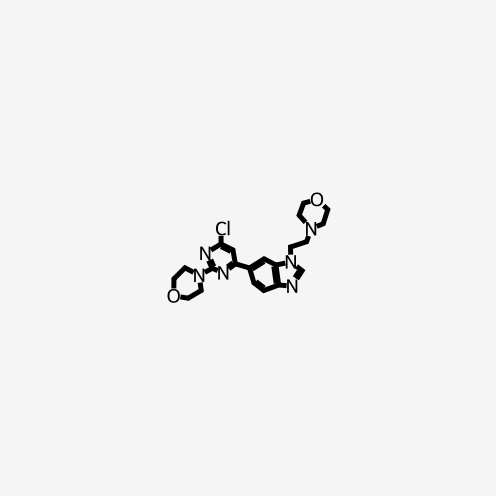 Clc1cc(-c2ccc3ncn(CCN4CCOCC4)c3c2)nc(N2CCOCC2)n1